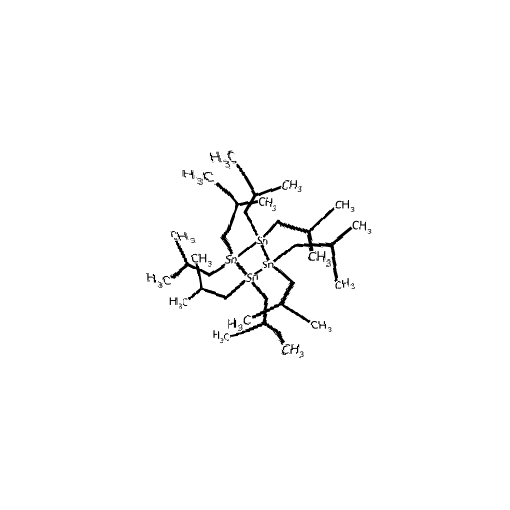 CC(C)[CH2][Sn]1([CH2]C(C)C)[Sn]([CH2]C(C)C)([CH2]C(C)C)[Sn]([CH2]C(C)C)([CH2]C(C)C)[Sn]1([CH2]C(C)C)[CH2]C(C)C